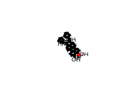 O=C(O)c1ccc2c3ccc(C(=O)Nc4ccccc4)c4c(C(=O)Nc5ccccc5)ccc(c5ccc(C(=O)O)c1c25)c43